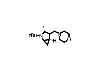 C[C@@H]1C(CN2CCOCC2)[C@H]2CC2N1C(C)(C)C